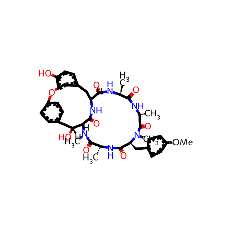 COc1ccc(C[C@H]2C(=O)N[C@H](C)C(=O)N(C)[C@@H]3C(=O)N[C@@H](Cc4ccc(O)c(c4)Oc4ccc(cc4)[C@H]3O)C(=O)N[C@@H](C)C(=O)N[C@H](C)C(=O)N2C)cc1